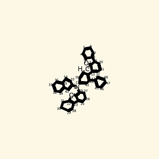 CC12Oc3ccccc3C1C=CC=C2c1ccc(N(C2=c3oc4c(c3=CCC2)C=CCC4)c2ccc3ccccc3c2)cc1-c1ccccc1